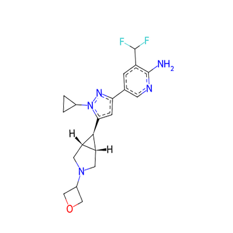 Nc1ncc(-c2cc([C@H]3[C@@H]4CN(C5COC5)C[C@@H]43)n(C3CC3)n2)cc1C(F)F